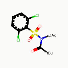 CC(=O)ON(C(=O)C(C)(C)C)S(=O)(=O)c1c(Cl)cccc1Cl